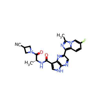 Cc1nc(-c2cnc3[nH]cc(C(=O)N[C@H](C)C(=O)N4CC(C#N)C4)c3n2)c2ccc(F)cn12